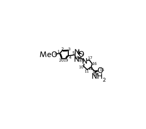 COc1ccc(-c2noc(N3CCC(C(N)=O)CC3)n2)cc1